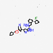 Fc1ccccc1-c1cccc2[nH]c(-c3n[nH]c4ncc(-c5cncc(OCc6ccccc6)c5)cc34)cc12